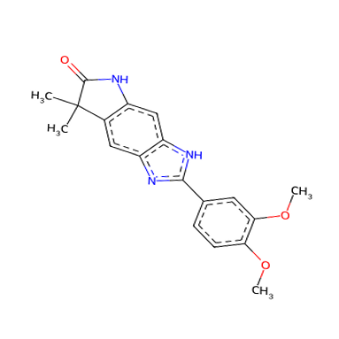 COc1ccc(-c2nc3cc4c(cc3[nH]2)NC(=O)C4(C)C)cc1OC